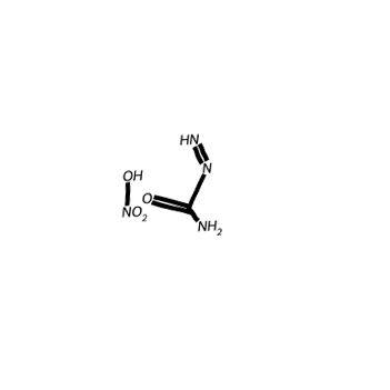 N=NC(N)=O.O=[N+]([O-])O